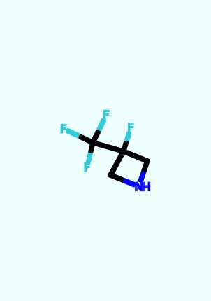 FC(F)(F)C1(F)CNC1